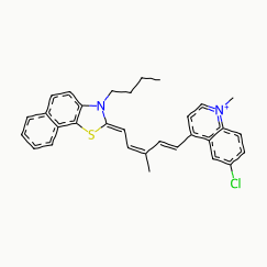 CCCCN1C(=CC=C(C)C=Cc2cc[n+](C)c3ccc(Cl)cc23)Sc2c1ccc1ccccc21